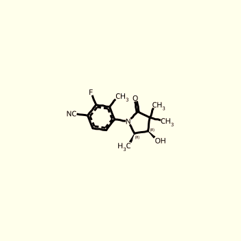 Cc1c(N2C(=O)C(C)(C)[C@@H](O)[C@H]2C)ccc(C#N)c1F